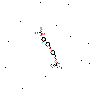 C=C(C)C(=O)OCCCc1ccc(OCC2CCC(c3ccc(OC(=O)C(=C)C)cc3F)CC2)cc1